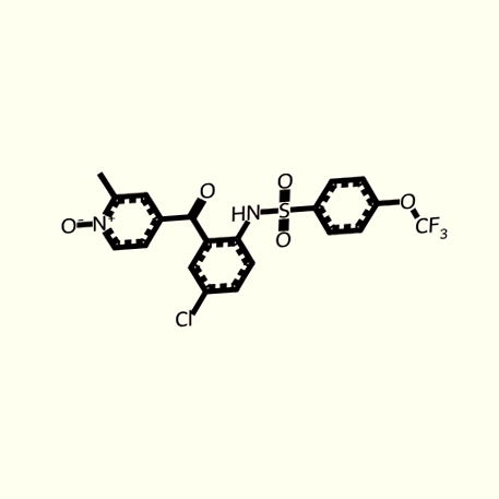 Cc1cc(C(=O)c2cc(Cl)ccc2NS(=O)(=O)c2ccc(OC(F)(F)F)cc2)cc[n+]1[O-]